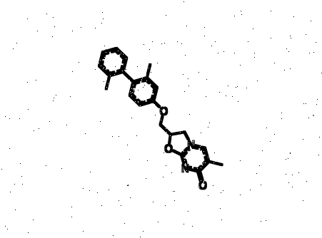 Cc1ccccc1-c1ccc(OCC2Cn3cc(C)c(=O)nc3O2)cc1C